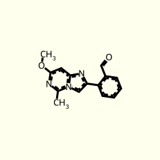 COc1cc2nc(-c3ccccc3C=O)cn2c(C)n1